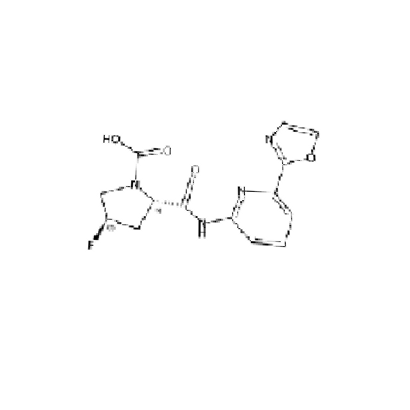 O=C(Nc1cccc(-c2ncco2)n1)[C@@H]1C[C@@H](F)CN1C(=O)O